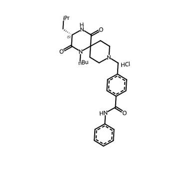 CCCCN1C(=O)[C@H](CC(C)C)NC(=O)C12CCN(Cc1ccc(C(=O)Nc3ccccc3)cc1)CC2.Cl